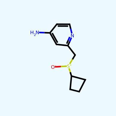 Nc1ccnc(C[S+]([O-])C2CCC2)c1